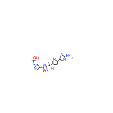 CC(C)[C@](C)(c1ccc(-c2cnc(N)nc2)nc1)c1noc(-c2cnn(CC(C)(C)O)c2)n1